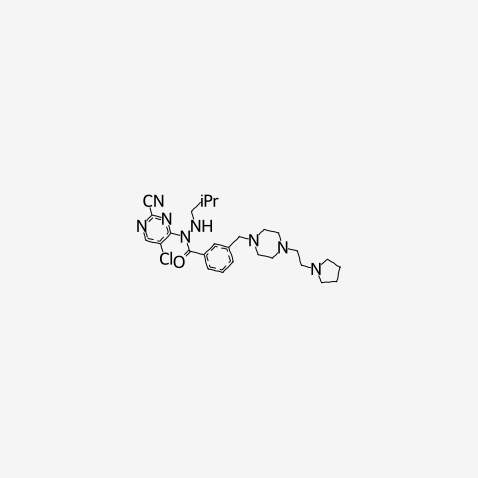 CC(C)CNN(C(=O)c1cccc(CN2CCN(CCN3CCCC3)CC2)c1)c1nc(C#N)ncc1Cl